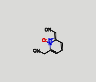 O=N/C=C1/C=CC=C(CN=O)[NH+]1[O-]